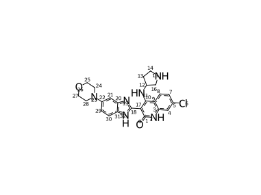 O=c1[nH]c2cc(Cl)ccc2c(NC2CCNC2)c1-c1nc2cc(N3CCOCC3)ccc2[nH]1